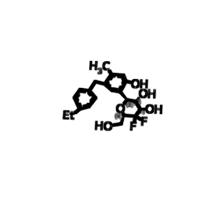 CCc1ccc(Cc2cc([C@@H]3O[C@H](CO)C(F)(F)[C@H](O)[C@H]3O)c(O)cc2C)cc1